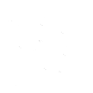 COc1c(NC(=O)c2ccc(C)c(Oc3ccnc(CNC4CCCN(C)C4)n3)c2)cc(C(C)(C)C)cc1NS(C)(=O)=O